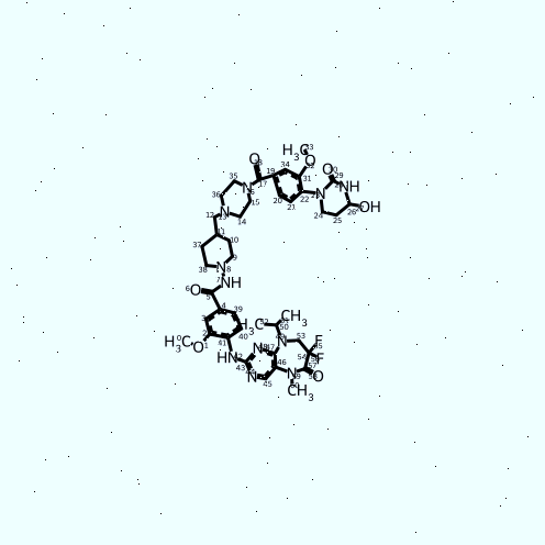 COc1cc(C(=O)NN2CCC(CN3CCN(C(=O)c4ccc(N5CCC(O)NC5=O)c(OC)c4)CC3)CC2)ccc1Nc1ncc2c(n1)N(C(C)C)CC(F)(F)C(=O)N2C